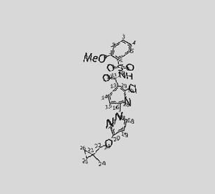 COc1ccccc1S(=O)(=O)NC(=O)c1ccc(-n2ccc(OCC3(C)CC3)n2)nc1Cl